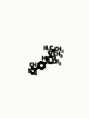 CCN(NC(=O)OC(C)(C)C)c1ccc(-c2scnc2C)cc1